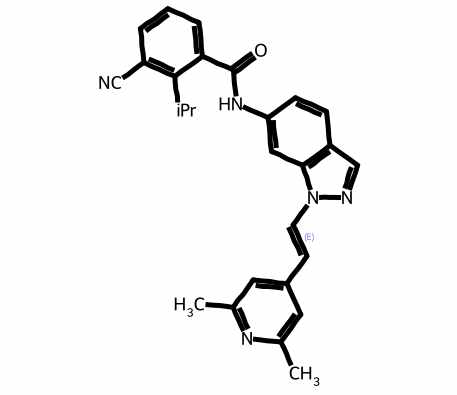 Cc1cc(/C=C/n2ncc3ccc(NC(=O)c4cccc(C#N)c4C(C)C)cc32)cc(C)n1